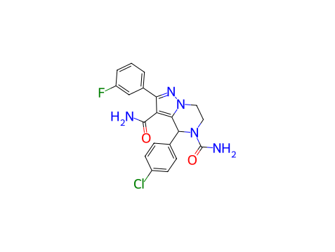 NC(=O)c1c(-c2cccc(F)c2)nn2c1C(c1ccc(Cl)cc1)N(C(N)=O)CC2